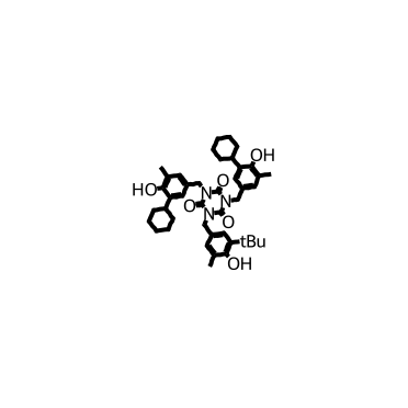 Cc1cc(Cn2c(=O)n(Cc3cc(C)c(O)c(C4CCCCC4)c3)c(=O)n(Cc3cc(C)c(O)c(C(C)(C)C)c3)c2=O)cc(C2CCCCC2)c1O